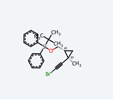 CC(C)(C)[Si](OC[C@@H]1C[C@@]1(C)C#CBr)(c1ccccc1)c1ccccc1